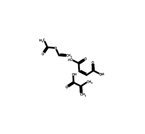 C=C(C)C(=O)O.C=COC(C)=O.O=C(O)/C=C\C(=O)O